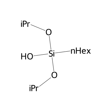 CCCCCC[Si](O)(OC(C)C)OC(C)C